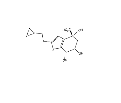 O=C(O)[C@@]1(O)CC(O)[C@H](O)c2sc(CCC3CC3)cc21